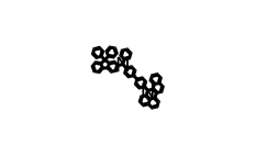 c1ccc(N(c2ccc(-c3ccc(N4c5c(ccc6ccccc56)-c5cccc6cccc4c56)cc3)cc2)c2ccc3c(c2)C(c2ccccc2)(c2ccccc2)c2ccccc2-3)cc1